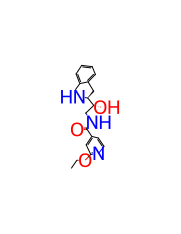 CCOc1cc(C(=O)NC[C@@H](O)[C@@H]2Cc3ccccc3CN2)ccn1